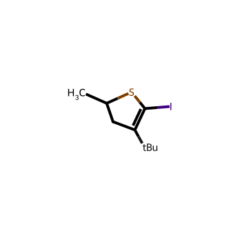 CC1CC(C(C)(C)C)=C(I)S1